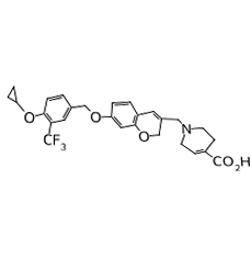 O=C(O)C1=CCN(CC2=Cc3ccc(OCc4ccc(OC5CC5)c(C(F)(F)F)c4)cc3OC2)CC1